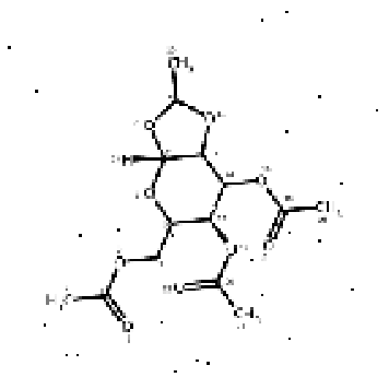 CC(=O)OCC1O[C@@H]2OC(C)OC2C(OC(C)=O)[C@H]1OC(C)=O